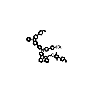 C=CC1=CC=C(c2cc(C)c(OCCCCC3(c4ccccc4)C4=CC(N(C5=CC=C(C6=CCC(C(C)(C)C)C=C6)CC5)c5ccc(-c6ccc7c(c6)C6CC(C8=CCC(C=C)C=C8)CC=C6N7c6ccccc6)cc5)CC=C4C4C=CC=CC43)cc2C)CC1